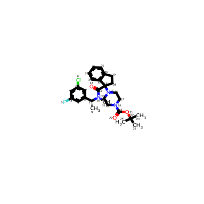 C[C@H](c1cc(F)cc(Cl)c1)N(C)C(=O)C1(N2CCN(C(=O)OC(C)(C)C)CC2)CCc2ccccc21